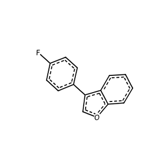 Fc1ccc(-c2coc3ccccc23)cc1